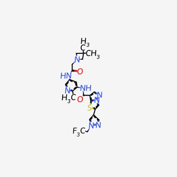 Cc1ncc(NC(=O)CN2CC(C)(C)C2)cc1NC(=O)c1cnn2cc(-c3cnn(CC(F)(F)F)c3)sc12